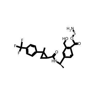 C[C@@H](NC(=O)C1CC1(C)c1ccc(C(F)(F)F)cc1)c1ccc(C(=O)OSN)c(CO)c1